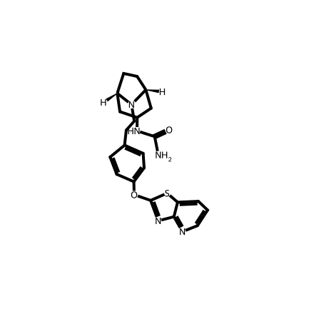 NC(=O)NC1C[C@H]2CC[C@@H](C1)N2CCc1ccc(Oc2nc3ncccc3s2)cc1